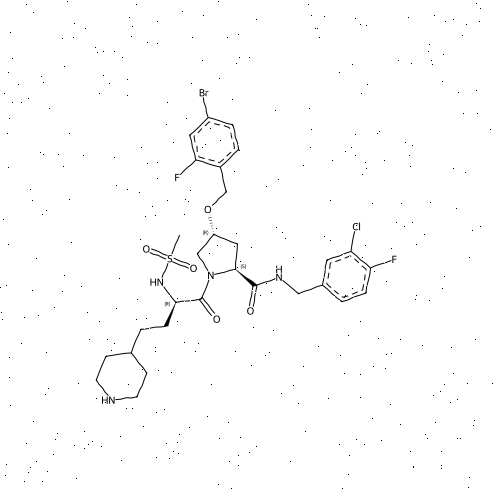 CS(=O)(=O)N[C@H](CCC1CCNCC1)C(=O)N1C[C@H](OCc2ccc(Br)cc2F)C[C@H]1C(=O)NCc1ccc(F)c(Cl)c1